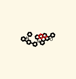 c1ccc(-n2c3ccccc3c3ccc(-c4cccc(N(c5cccc(-c6ccc7c(c6)oc6ccccc67)c5-c5cccc6ccccc56)c5cccc6ccccc56)c4)cc32)cc1